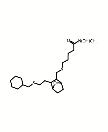 CN(O)C(=O)CCCCSCC1C2CCC(O2)C1CCSCC1CCCCC1